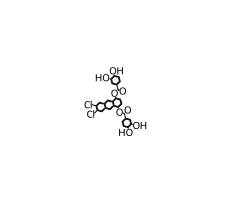 O=C(Oc1ccc(OC(=O)c2ccc(O)c(O)c2)c2cc3cc(Cl)c(Cl)cc3cc12)c1ccc(O)c(O)c1